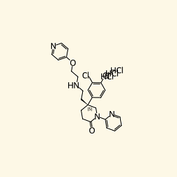 Cl.Cl.Cl.O=C1CC[C@](CCNCCOc2ccncc2)(c2ccc(Cl)c(Cl)c2)CN1c1ccccn1